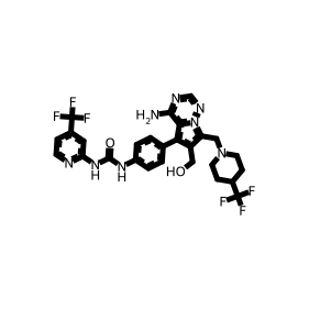 Nc1ncnn2c(CN3CCC(C(F)(F)F)CC3)c(CO)c(-c3ccc(NC(=O)Nc4cc(C(F)(F)F)ccn4)cc3)c12